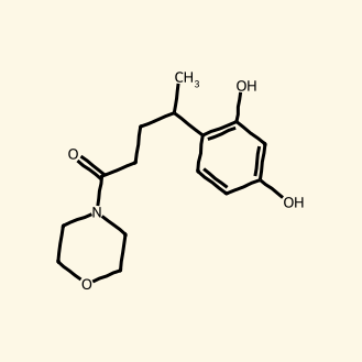 CC(CCC(=O)N1CCOCC1)c1ccc(O)cc1O